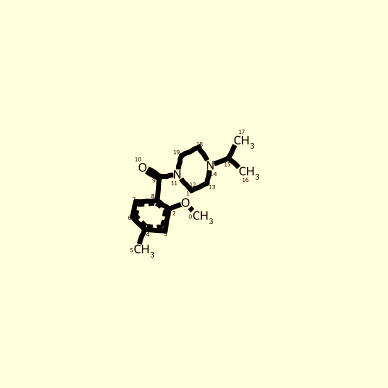 COc1cc(C)ccc1C(=O)N1CCN(C(C)C)CC1